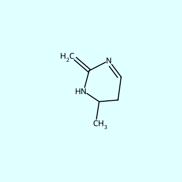 C=C1N=CCC(C)N1